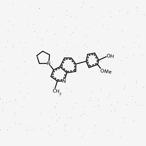 COc1cc(-c2ccc3c(N4CCCC4)cc(C)nc3c2)ccc1O